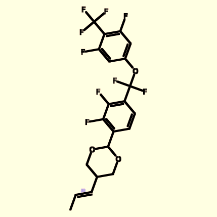 C/C=C/C1COC(c2ccc(C(F)(F)Oc3cc(F)c(C(F)(F)F)c(F)c3)c(F)c2F)OC1